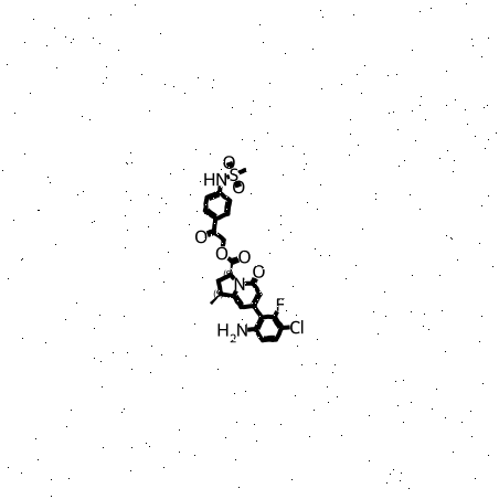 C[C@H]1C[C@@H](C(=O)OCC(=O)c2ccc(NS(C)(=O)=O)cc2)n2c1cc(-c1c(N)ccc(Cl)c1F)cc2=O